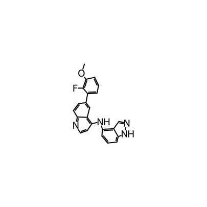 COc1cccc(-c2ccc3nccc(Nc4cccc5[nH]ncc45)c3c2)c1F